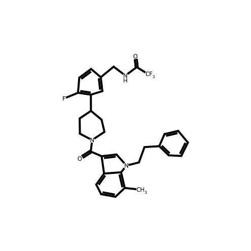 Cc1cccc2c(C(=O)N3CCC(c4cc(CNC(=O)C(F)(F)F)ccc4F)CC3)cn(CCc3ccccc3)c12